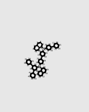 C1=CC2C=CC=C(N(c3ccc(-c4ccccc4)cc3)c3ccc(-c4ccc(N(c5cc(-c6ccccc6)cc(-c6ccccc6)c5)c5cccc6ccccc56)cc4)cc3)C2C=C1